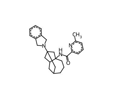 Cc1cccc(C(=O)NC23CCCC4CC2CC(N2Cc5ccccc5C2)(C4)C3)n1